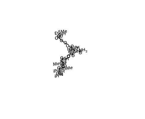 CCCC(CC)(SC)C1CC(=O)N(CCOCCOCCOCCC(=O)N[C@H](C(=O)N[C@@H](CCCNC(N)=O)C(=O)Nc2ccc(CSNC(=O)[C@H](C)[C@@H](OC)[C@@H]3CCCN3C(=O)C[C@@H](OC)[C@H]([C@@H](C)CC)N(C)C(=O)[C@@H](NC(=O)[C@H](C(C)C)N(C)C)C(C)C)cc2)C(C)C)C1=O